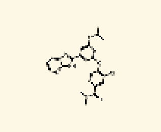 CC(C)Oc1cc(Oc2ccc(C(=O)N(C)C)cc2Cl)cc(-c2nc3cccnc3[nH]2)c1